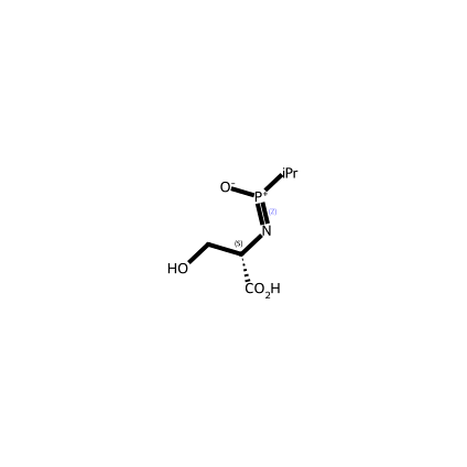 CC(C)/[P+]([O-])=N/[C@@H](CO)C(=O)O